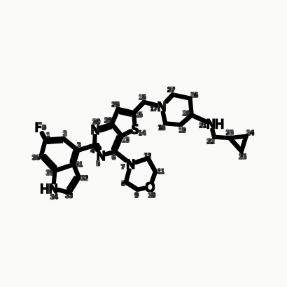 Fc1cc(-c2nc(N3CCOCC3)c3sc(CN4CCC(NCC5CC5)CC4)cc3n2)c2cc[nH]c2c1